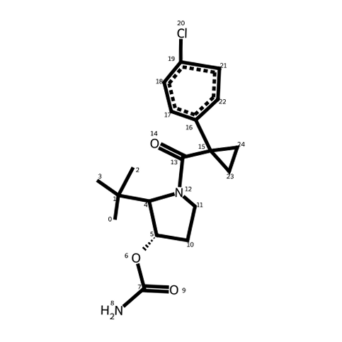 CC(C)(C)C1[C@@H](OC(N)=O)CCN1C(=O)C1(c2ccc(Cl)cc2)CC1